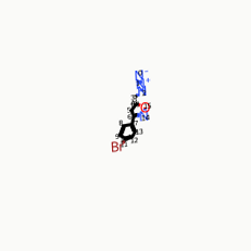 [N-]=[N+]=NC[C@H]1CC(c2ccc(Br)cc2)=NO1